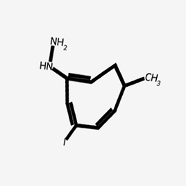 CC1\C=C/C(I)=C\C(NN)=C\C1